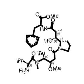 CCC(C)[C@@H]([C@@H](CC(=O)N1CCC[C@H]1[C@H](O)[C@@H](C)C(=O)NC(Cc1ccccc1)C(=O)OC)OC)N(C)C(=O)[C@@H](N)C(C)C